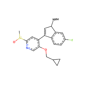 CNC1C=C(c2cc([S+](C)[O-])ncc2OCC2CC2)c2ccc(F)cc21